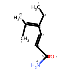 CCC(C=CC(N)=O)=C(C)C